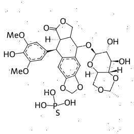 COc1cc([C@@H]2c3cc4c(cc3C(O[C@@H]3O[C@@H]5CO[C@@H](C)O[C@H]5[C@H](O)[C@H]3O)C3COC(=O)[C@@H]32)OCO4)cc(OC)c1O.OP(O)(O)=S